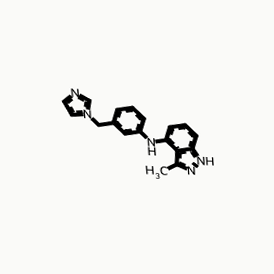 Cc1n[nH]c2cccc(Nc3cccc(Cn4ccnc4)c3)c12